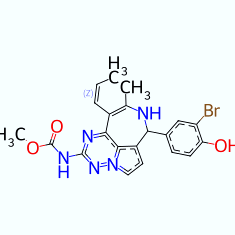 C/C=C\C1=C(C)NC(c2ccc(O)c(Br)c2)c2ccn3nc(NC(=O)OC)nc1c23